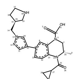 C[C@H]1CN(C(=O)O)c2cc(-c3cnn(C[C@H]4CCNC4)c3)ccc2N1C(=O)C1CC1